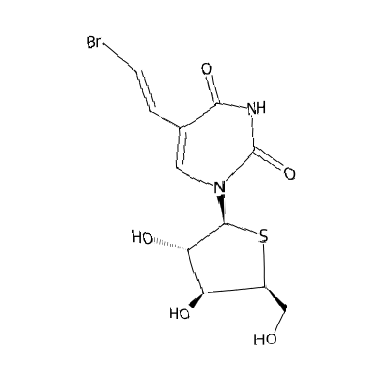 O=c1[nH]c(=O)n([C@H]2S[C@@H](CO)[C@@H](O)[C@@H]2O)cc1/C=C/Br